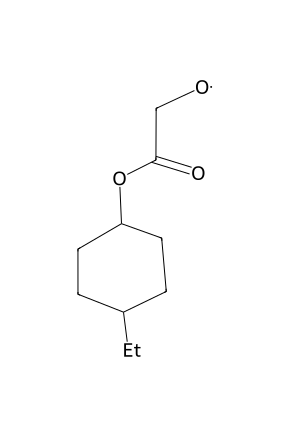 CCC1CCC(OC(=O)C[O])CC1